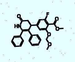 COCOc1cc(C2CC(=O)NC(c3ccccc3)=C2c2ccccc2)cc(F)c1C(=O)OC